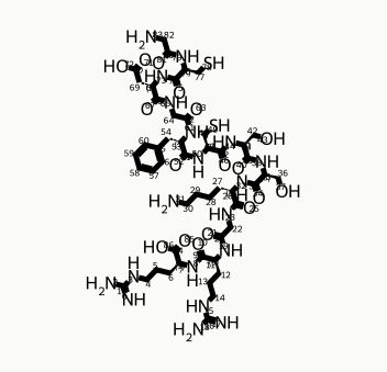 N=C(N)NCCC[C@H](NC(=O)[C@H](CCCNC(=N)N)NC(=O)CNC(=O)[C@H](CCCCN)NC(=O)[C@H](CO)NC(=O)[C@H](CO)NC(=O)[C@H](CS)NC(=O)[C@H](Cc1ccccc1)NC(=O)CNC(=O)[C@H](CC(=O)O)NC(=O)[C@H](CS)NC(=O)CN)C(=O)O